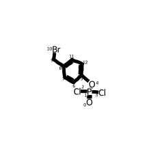 O=P(Cl)(Cl)Oc1ccc(CBr)cc1